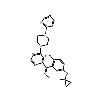 C/N=C(/c1cc(N2CCN(c3ccncn3)CC2)ncn1)c1cc(OC2(C)CC2)ccc1N